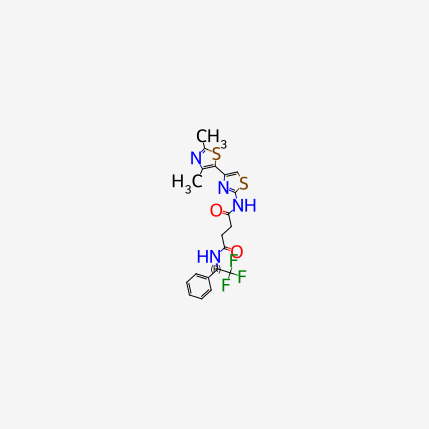 Cc1nc(C)c(-c2csc(NC(=O)CCC(=O)N[C@H](c3ccccc3)C(F)(F)F)n2)s1